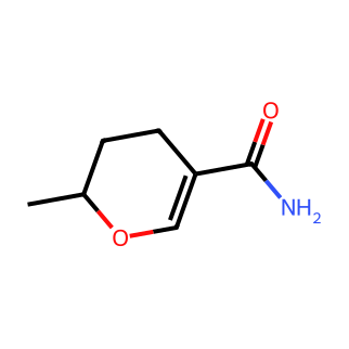 CC1CCC(C(N)=O)=CO1